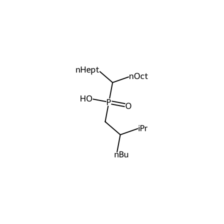 CCCCCCCCC(CCCCCCC)P(=O)(O)CC(CCCC)C(C)C